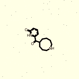 O=C(c1cccc(=O)[nH]1)C1CCCCNCCC1